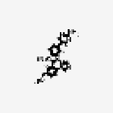 CCOCc1ccc(-n2cncn2)c(-c2nc3cc(-c4cnc(N)nc4)ccc3n2C(C)(C)C)c1